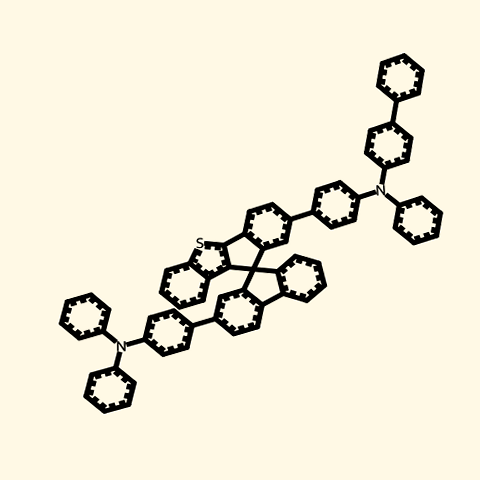 c1ccc(-c2ccc(N(c3ccccc3)c3ccc(-c4ccc5c(c4)C4(c6ccccc6-c6ccc(-c7ccc(N(c8ccccc8)c8ccccc8)cc7)cc64)c4c-5sc5ccccc45)cc3)cc2)cc1